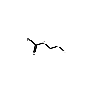 CC(C)C(=O)OCSCl